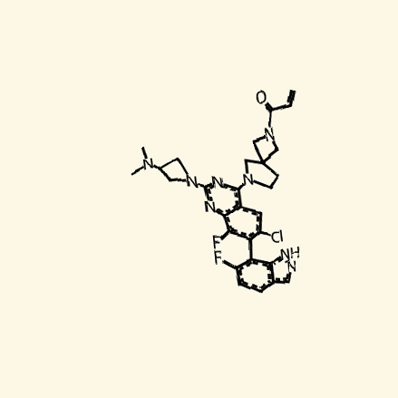 C=CC(=O)N1CC2(CCN(c3nc(N4CC(N(C)C)C4)nc4c(F)c(-c5c(F)ccc6cn[nH]c56)c(Cl)cc34)C2)C1